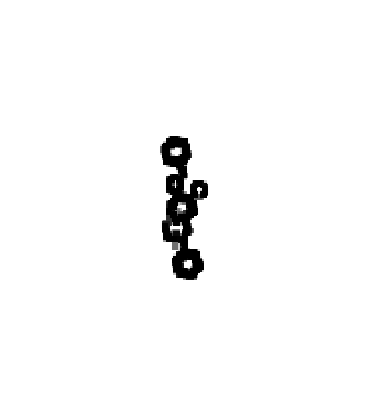 O=c1cc2n(cc1OCc1ccccc1)CCN(c1ccccc1)C2